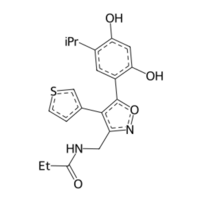 CCC(=O)NCc1noc(-c2cc(C(C)C)c(O)cc2O)c1-c1ccsc1